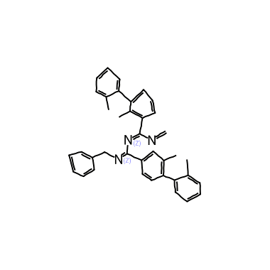 C=N/C(=N\C(=N/Cc1ccccc1)c1ccc(-c2ccccc2C)c(C)c1)c1cccc(-c2ccccc2C)c1C